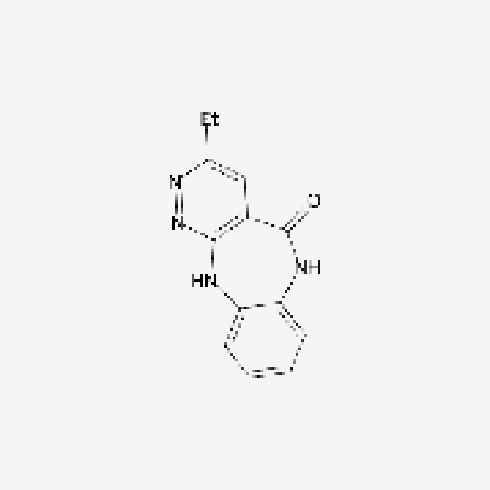 CCc1cc2c(nn1)Nc1ccccc1NC2=O